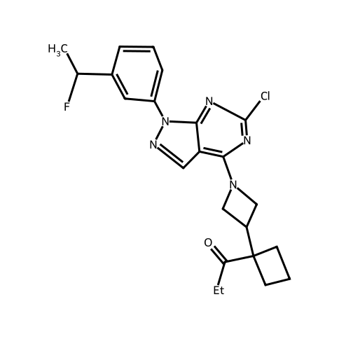 CCC(=O)C1(C2CN(c3nc(Cl)nc4c3cnn4-c3cccc(C(C)F)c3)C2)CCC1